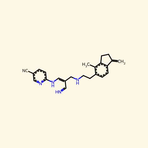 C=C1CCc2c1ccc(CCNC/C(C=N)=C/Nc1ccc(C#N)cn1)c2C